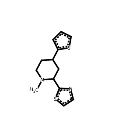 CN1CCC(c2cccs2)CC1c1nccs1